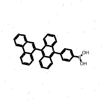 OB(O)c1ccc(-c2c3ccccc3c(-c3cc4ccccc4c4ccccc34)c3ccccc23)cc1